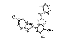 COc1cc[n+](-c2nc3cc(C(F)(F)F)ccc3[nH]2)c(CSSc2ncccn2)c1C.[Cl-]